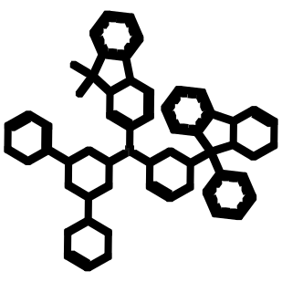 CC1(C)c2ccccc2C2C=CC(N(C3C=CCC(C4(c5ccccc5)c5ccccc5C5C=CCCC54)C3)C3CC(C4=CC=CCC4)CC(C4CC=CCC4)C3)=CC21